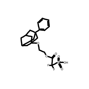 O=C(OCCOC12CC3CC(C1)CC(c1ccccc1)(C3)C2)C(F)(F)S(=O)(=O)O